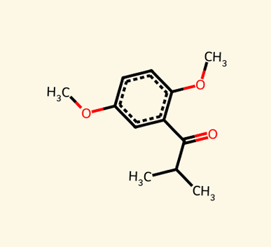 COc1ccc(OC)c(C(=O)C(C)C)c1